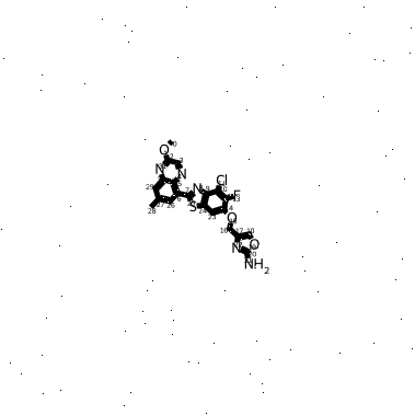 COc1cnc2c(-c3nc4c(Cl)c(F)c(OCc5coc(N)n5)cc4s3)cc(C)cc2n1